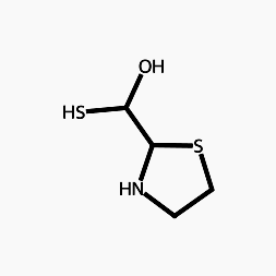 OC(S)C1NCCS1